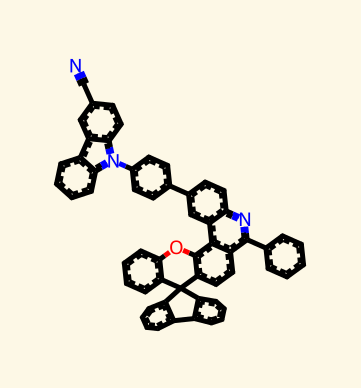 N#Cc1ccc2c(c1)c1ccccc1n2-c1ccc(-c2ccc3nc(-c4ccccc4)c4ccc5c(c4c3c2)Oc2ccccc2C52c3ccccc3-c3ccccc32)cc1